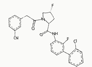 N#Cc1cccc(CC(=O)N2C[C@H](F)CC2C(=O)Nc2cccc(-c3ccccc3Cl)c2F)c1